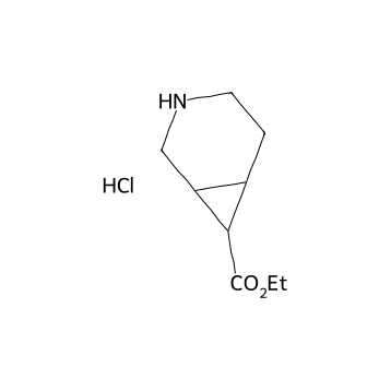 CCOC(=O)C1C2CCNCC21.Cl